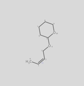 C/C=C\COC1CCCCO1